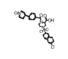 O=C(O)C1CN(S(=O)(=O)c2ccc3cc(Cl)ccc3c2)CCN1C(=O)c1ccc(-c2cc[n+]([O-])cc2)cc1